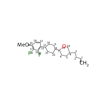 C=CCCC1CCC(C2CCC(c3ccc(OC)c(F)c3F)CC2)OC1